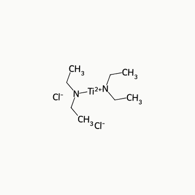 CC[N](CC)[Ti+2][N](CC)CC.[Cl-].[Cl-]